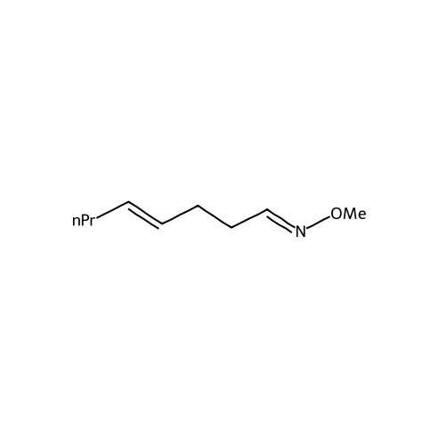 [CH2]CCC=CCCC=NOC